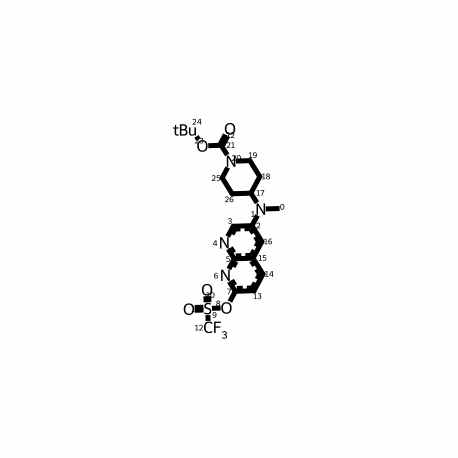 CN(c1cnc2nc(OS(=O)(=O)C(F)(F)F)ccc2c1)C1CCN(C(=O)OC(C)(C)C)CC1